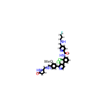 COc1cc(-c2nccc(-c3cccc(NC(=O)c4ccc(CNCCCF)cn4)c3Cl)c2Cl)ccc1CNCC1CCC(=O)N1